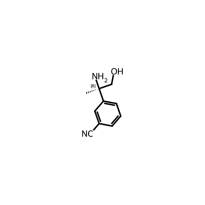 C[C@](N)(CO)c1cccc(C#N)c1